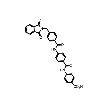 O=C(O)c1ccc(NC(=O)c2ccc(NC(=O)c3ccc(CN4C(=O)c5ccccc5C4=O)cc3)cc2)cc1